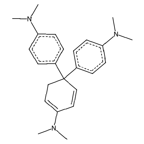 CN(C)C1=CCC(c2ccc(N(C)C)cc2)(c2ccc(N(C)C)cc2)C=C1